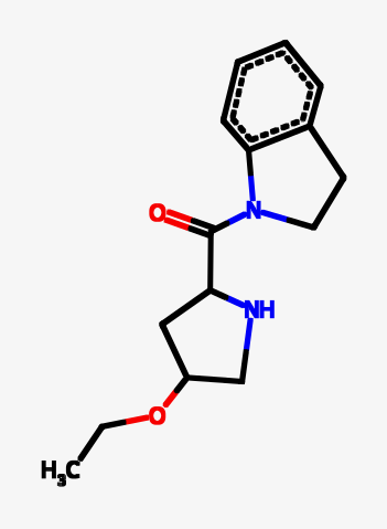 CCOC1CNC(C(=O)N2CCc3ccccc32)C1